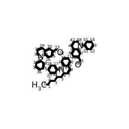 CCCCCCc1ccc2ccccc2[n+]1-c1ccccc1.O=Cc1ccc2c(ccc[n+]2-c2ccccc2)c1.O=Cc1ccc2ccc[n+](-c3ccccc3)c2c1